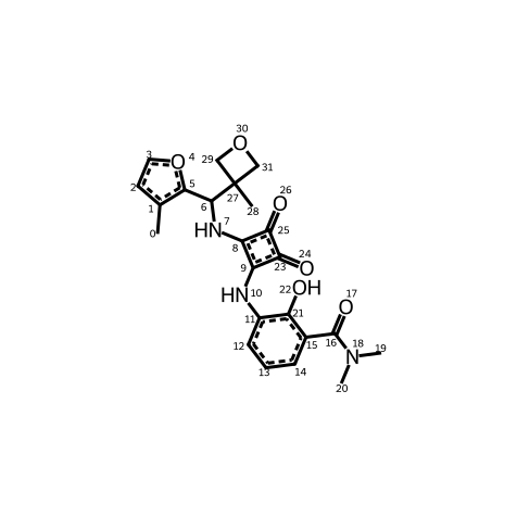 Cc1ccoc1C(Nc1c(Nc2cccc(C(=O)N(C)C)c2O)c(=O)c1=O)C1(C)COC1